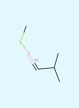 CS/B=C/C(C)C